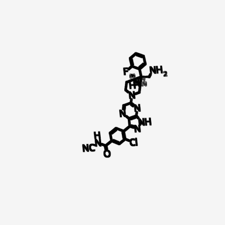 N#CNC(=O)c1ccc(-c2n[nH]c3nc(N4CC[C@@H]5[C@H](C4)[C@@]5(CN)c4ccccc4F)cnc23)c(Cl)c1